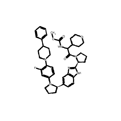 COC(=O)NC(C(=O)N1CCC[C@H]1c1nc2cc([C@H]3CCCN3c3ccc(N4CCC(c5ccccc5)CC4)c(F)c3)ccc2[nH]1)C1CCOCC1